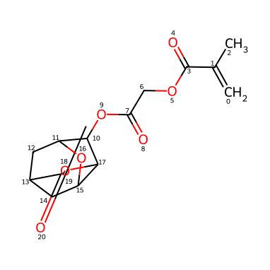 C=C(C)C(=O)OCC(=O)OC1C2CC3CC(O2)C1OC3=O